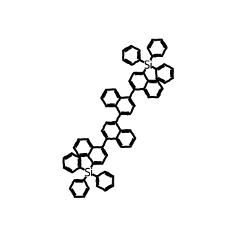 c1ccc([Si](c2ccccc2)(c2ccccc2)c2ccc(-c3ccc(-c4ccc(-c5ccc([Si](c6ccccc6)(c6ccccc6)c6ccccc6)c6ccccc56)c5ccccc45)c4ccccc34)c3ccccc23)cc1